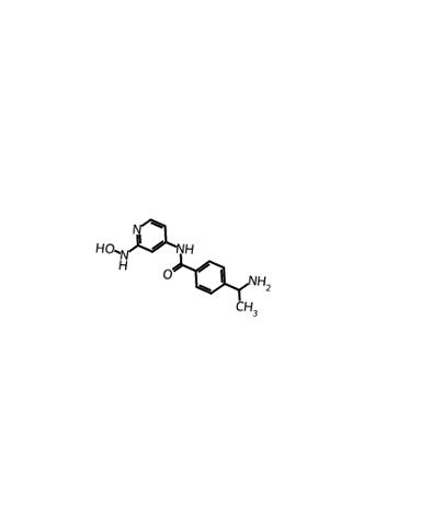 CC(N)c1ccc(C(=O)Nc2ccnc(NO)c2)cc1